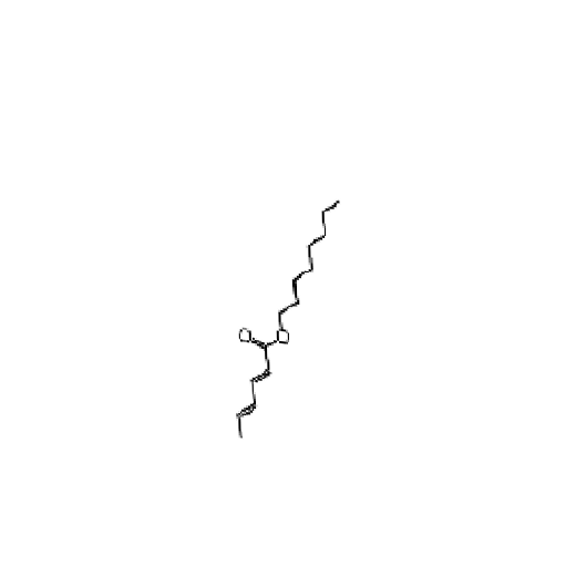 CC=CC=CC(=O)OCCCCCCCC